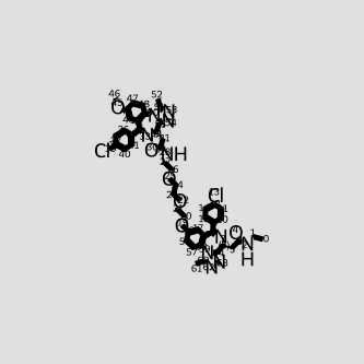 CCNC(=O)C[C@@H]1N=C(c2ccc(Cl)cc2)c2cc(OCCOCCOCCNC(=O)C[C@@H]3N=C(c4ccc(Cl)cc4)c4cc(OC)ccc4-n4c(C)nnc43)ccc2-n2c(C)nnc21